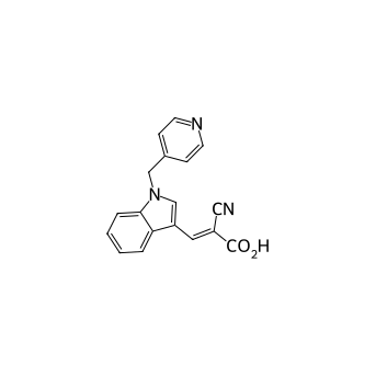 N#C/C(=C\c1cn(Cc2ccncc2)c2ccccc12)C(=O)O